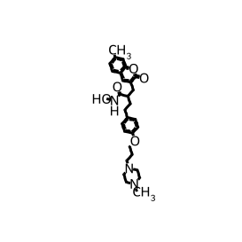 Cc1ccc2cc(CC(CCc3ccc(OCCCN4CCN(C)CC4)cc3)C(=O)NO)c(=O)oc2c1